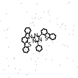 c1ccc(-c2nc(-c3cccc4c3sc3ccccc34)nc(-n3c4ccccc4c4ccc5c6ccccc6sc5c43)n2)cc1